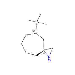 CC(C)(C)[C@H]1CCCC[C@]2(CN2)C1